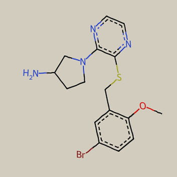 COc1ccc(Br)cc1CSc1nccnc1N1CCC(N)C1